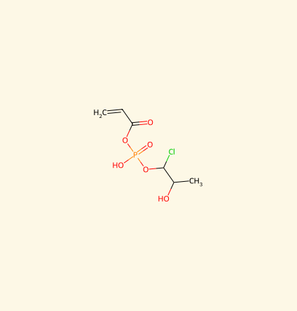 C=CC(=O)OP(=O)(O)OC(Cl)C(C)O